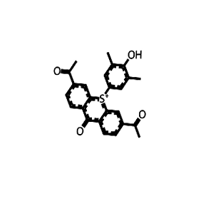 CC(=O)c1ccc2c(=O)c3ccc(C(C)=O)cc3[s+](-c3cc(C)c(O)c(C)c3)c2c1